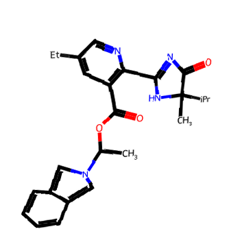 CCc1cnc(C2=NC(=O)C(C)(C(C)C)N2)c(C(=O)OC(C)n2cc3ccccc3c2)c1